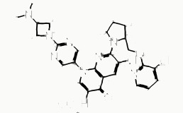 CN(C)C1CN(c2ncc(-n3cc(C(=O)O)c(=O)c4cc(Cl)c(N5CCC[C@@]5(C)COc5ncccc5Cl)nc43)cn2)C1